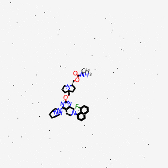 CNC(=O)OC[C@H]1CCC2(COc3nc4c(c(N5CC6CCC(C5)N6)n3)CCN(c3cccc5cccc(F)c35)C4)CCCN12